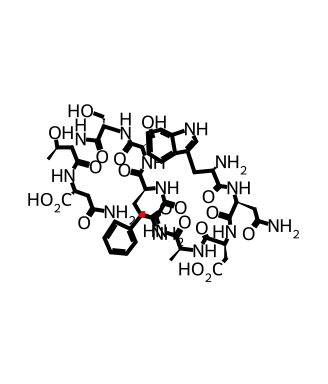 C[C@H](NC(=O)[C@H](CC(=O)O)NC(=O)[C@H](CC(N)=O)NC(=O)[C@@H](N)Cc1c[nH]c2ccccc12)C(=O)N[C@@H](Cc1ccccc1)C(=O)N[C@@H](CCC(N)=O)C(=O)N[C@@H](CO)C(=O)N[C@@H](CO)C(=O)N[C@H](C(=O)N[C@@H](CC(N)=O)C(=O)O)[C@@H](C)O